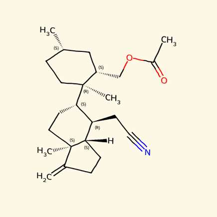 C=C1CC[C@H]2[C@H](CC#N)[C@@H]([C@@]3(C)CC[C@H](C)C[C@@H]3COC(C)=O)CC[C@]12C